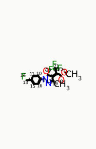 COC(=O)C(=C1C(=O)N(c2ccc(CF)cc2)N=C1C)C(F)(F)F